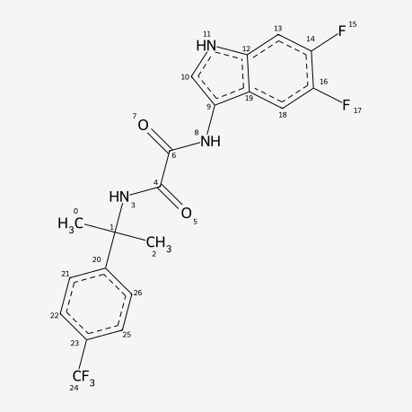 CC(C)(NC(=O)C(=O)Nc1c[nH]c2cc(F)c(F)cc12)c1ccc(C(F)(F)F)cc1